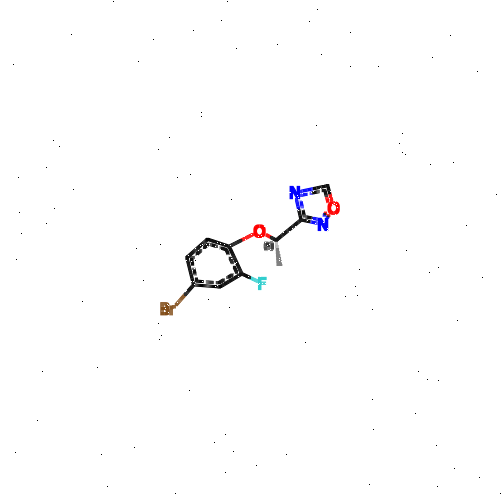 C[C@H](Oc1ccc(Br)cc1F)c1ncon1